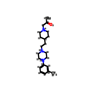 CC(C)(C)C(=O)CN1CCC(CCN2CCN(c3cccc(C(F)(F)F)c3)CC2)CC1